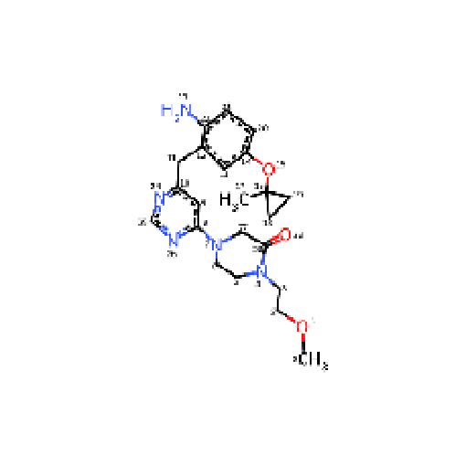 COCCN1CCN(c2cc(Cc3cc(OC4(C)CC4)ccc3N)ncn2)CC1=O